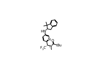 CN(C(=O)C(C)(C)C)[C@@H](c1ccc(N[C@@H]2Cc3ccccc3C2(C)C)cn1)C(F)(F)F